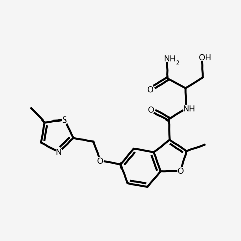 Cc1cnc(COc2ccc3oc(C)c(C(=O)NC(CO)C(N)=O)c3c2)s1